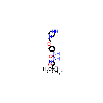 CC(C)(C)c1cc(NC(=O)Nc2ccc(OCCN3CCNCC3)cc2)no1